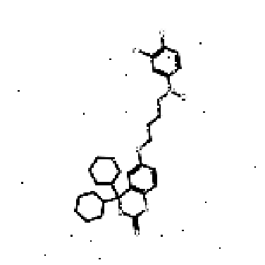 O=C1Nc2ccc(OCCCC[S+]([O-])c3ccc(Cl)c(Cl)c3)cc2C(C2CCCCC2)(C2CCCCC2)O1